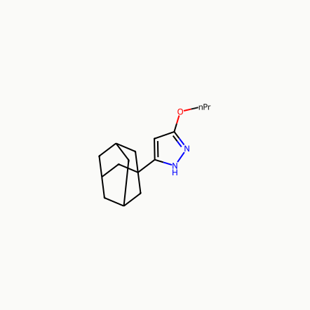 CCCOc1cc(C23CC4CC(CC(C4)C2)C3)[nH]n1